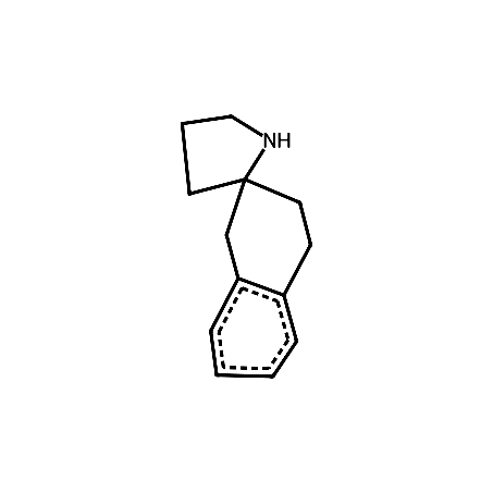 c1ccc2c(c1)CCC1(CCCN1)C2